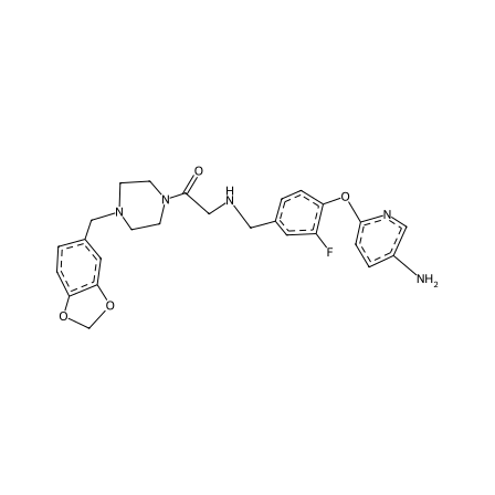 Nc1ccc(Oc2ccc(CNCC(=O)N3CCN(Cc4ccc5c(c4)OCO5)CC3)cc2F)nc1